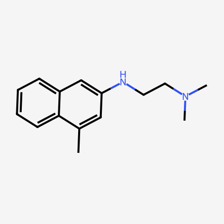 Cc1cc(NCCN(C)C)cc2ccccc12